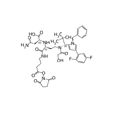 CC(C)(C)[C@H](c1cc(-c2cc(F)ccc2F)cn1Cc1ccccc1)N(CC[C@H](N[C@@H](CC(N)=O)C(=O)O)C(=O)NCCCC(=O)ON1C(=O)CCC1=O)C(=O)CO